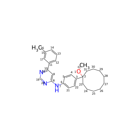 COC1(c2ccc(Nc3cc(-c4cccc(C)c4)ncn3)cc2)CCCCCCCCC1